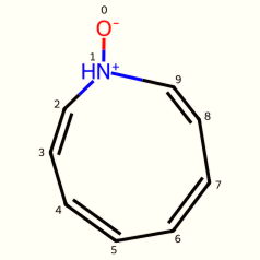 [O-][NH+]1C=CC=CC=CC=C1